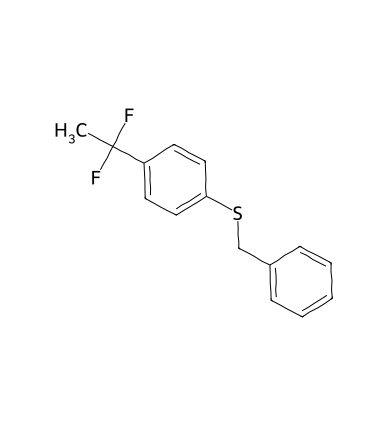 CC(F)(F)c1ccc(SCc2ccccc2)cc1